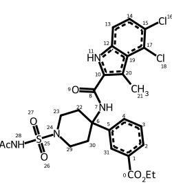 CCOC(=O)c1cccc(C2(NC(=O)c3[nH]c4ccc(Cl)c(Cl)c4c3C)CCN(S(=O)(=O)NC(C)=O)CC2)c1